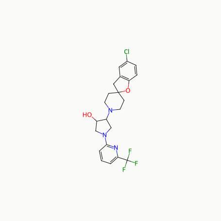 OC1CN(c2cccc(C(F)(F)F)n2)CC1N1CCC2(CC1)Cc1cc(Cl)ccc1O2